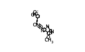 CCOc1cc(-c2ccc(N3CCN(C(=O)C#Cc4cccc([N+](=O)[O-])c4)CC3)nc2)c2c(C#N)cnn2c1